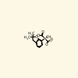 CC1(C)Cc2cccc([N+](C)(C(=O)[O-])C(=O)Cl)c2O1